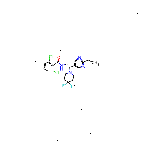 CCc1ncc([C@@H](CNC(=O)C2=C(Cl)C=CC[C@@H]2Cl)N2CCC(F)(F)CC2)cn1